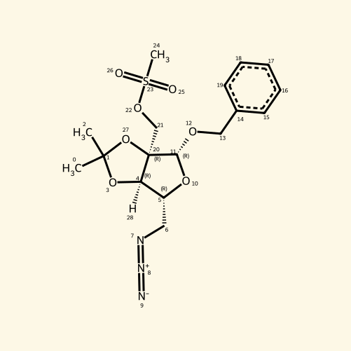 CC1(C)O[C@@H]2[C@@H](CN=[N+]=[N-])O[C@@H](OCc3ccccc3)[C@]2(COS(C)(=O)=O)O1